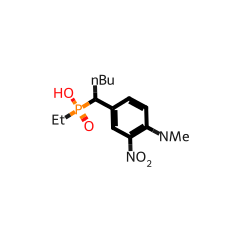 CCCCC(c1ccc(NC)c([N+](=O)[O-])c1)P(=O)(O)CC